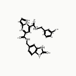 O=C(NCc1ccc2oc(=O)[nH]c2c1)c1cc(C(=O)NCc2cccc(F)c2)n2nccc2n1